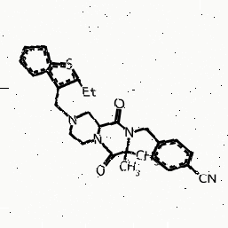 CCc1sc2ccccc2c1CN1CCN2C(=O)C(C)(C)N(Cc3ccc(C#N)cc3)C(=O)C2C1